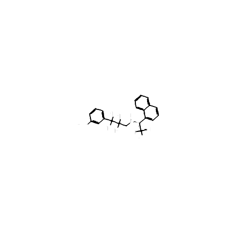 [2H]C([2H])([2H])[C@@H](NCC([2H])([2H])C([2H])([2H])c1cccc(C(F)(F)F)c1)c1cccc2ccccc12